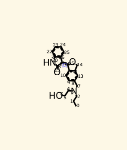 CCCN(CCO)Cc1ccc2c(c1)CO/C2=C1/C(=O)Nc2ccccc21